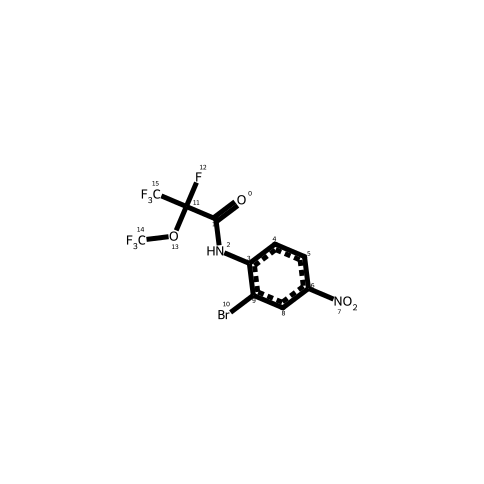 O=C(Nc1ccc([N+](=O)[O-])cc1Br)C(F)(OC(F)(F)F)C(F)(F)F